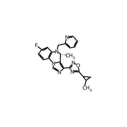 CC1CC1c1nc(-c2ncn3c2[C@@H](C)N(Cc2ccccn2)c2cc(F)ccc2-3)no1